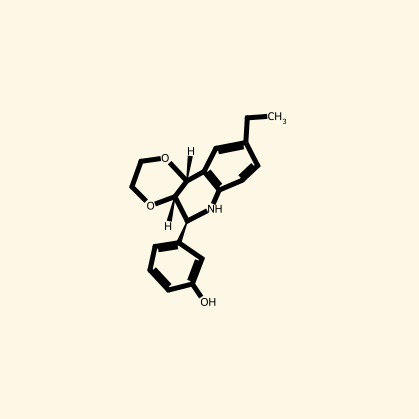 CCc1ccc2c(c1)[C@H]1OCCO[C@H]1[C@H](c1cccc(O)c1)N2